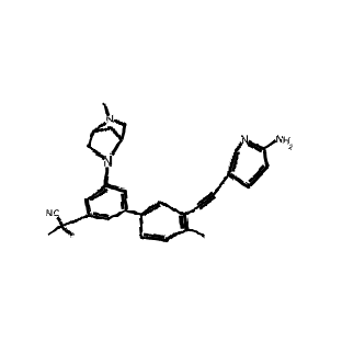 Cc1ccc(-c2cc(N3CC4CC3CN4C)cc(C(C)(C)C#N)c2)cc1C#Cc1ccc(N)nc1